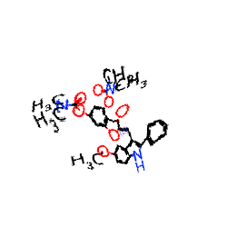 COc1ccc2[nH]c(-c3ccccc3)c(/C=C3\Oc4cc(OC(=O)N(C)C)cc(OC(=O)N(C)C)c4C3=O)c2c1